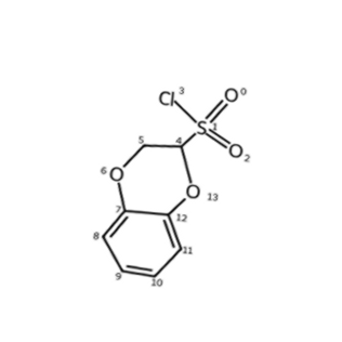 O=S(=O)(Cl)C1COc2ccccc2O1